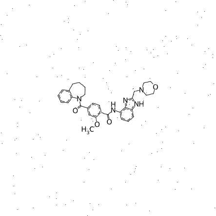 COc1cc(C(=O)N2CCCCc3ccccc32)ccc1C(=O)Nc1cccc2[nH]c(CN3CCOCC3)nc12